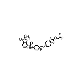 CN1Cc2c(C(=O)NC3CCC(F)(CCN4CCc5nc(OCC(F)F)sc5CC4)CC3)cccc2C1=O